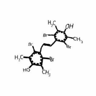 Cc1c(O)c(C)c(Br)c(C=Cc2c(Br)c(C)c(O)c(C)c2Br)c1Br